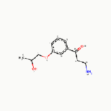 CC(O)COc1cccc(C(=O)CCN)c1